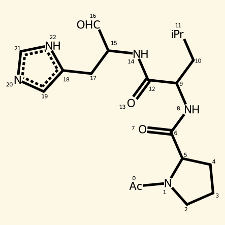 CC(=O)N1CCCC1C(=O)NC(CC(C)C)C(=O)NC(C=O)Cc1cnc[nH]1